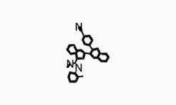 C=N/C(=N\c1ccccc1C)c1cc(-c2cc3ccccc3cc2-c2ccc(C#N)cc2)cc2ccccc12